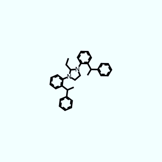 CCC1N(c2ccccc2C(C)c2ccccc2)CCN1c1ccccc1C(C)c1ccccc1